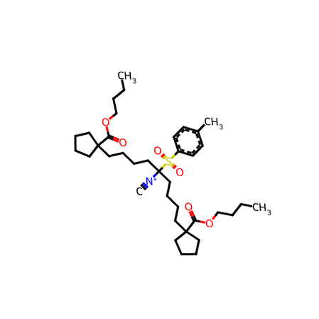 [C-]#[N+]C(CCCCC1(C(=O)OCCCC)CCCC1)(CCCCC1(C(=O)OCCCC)CCCC1)S(=O)(=O)c1ccc(C)cc1